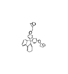 c1ccc2c(c1)-c1ccccc1C2(c1ccc(OCC2CO2)cc1)c1ccc(OC2CCO2)cc1